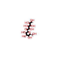 O=C(C(O)C(O)C(O)C(O)CO)[C@H]1O[C@H](CO)[C@H](O)[C@H](O)[C@H]1O